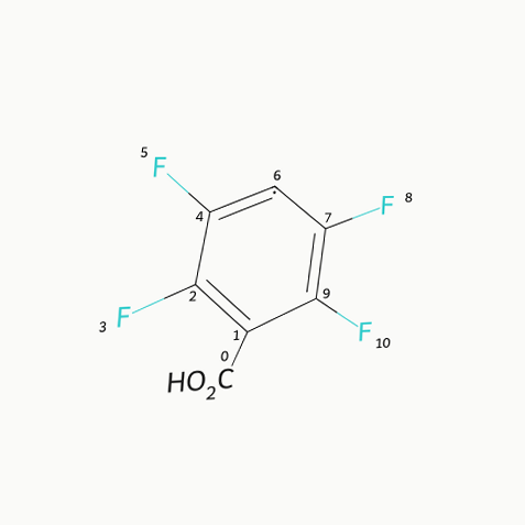 O=C(O)c1c(F)c(F)[c]c(F)c1F